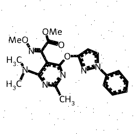 CON=C(C(=O)OC)c1c(Oc2ccn(-c3ccccc3)n2)nc(C)nc1N(C)C